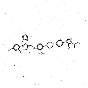 CCC(C)n1ncn(-c2ccc(N3CCN(c4ccc(OC[C@H]5CO[C@](Cn6cncn6)(c6ccc(Cl)cc6Cl)O5)cc4)CC3)cc2)c1=O.CO